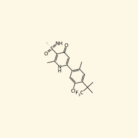 Cc1cc(C(C)(C)C(F)(F)F)c(Cl)cc1-c1cc(=O)c([S@](C)(=N)=O)c(C)[nH]1